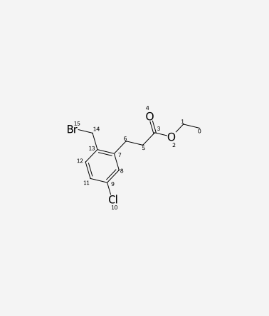 CCOC(=O)CCc1cc(Cl)ccc1CBr